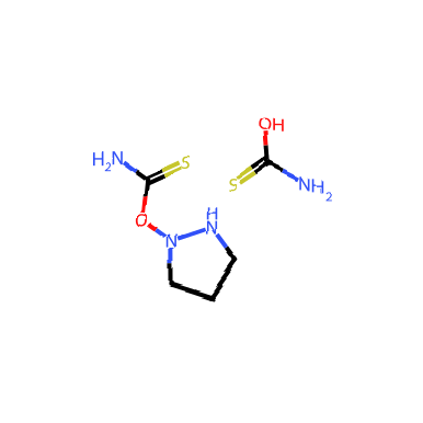 NC(=S)ON1CCCN1.NC(O)=S